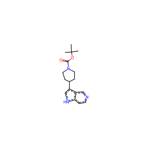 CC(C)(C)OC(=O)N1CCC(c2c[nH]c3ccncc23)CC1